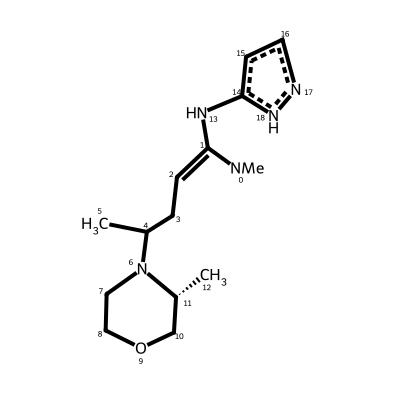 CN/C(=C\CC(C)N1CCOC[C@H]1C)Nc1ccn[nH]1